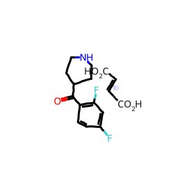 O=C(O)/C=C/C(=O)O.O=C(c1ccc(F)cc1F)C1CCNCC1